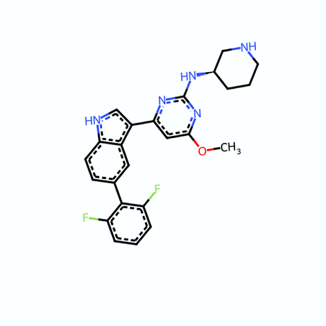 COc1cc(-c2c[nH]c3ccc(-c4c(F)cccc4F)cc23)nc(N[C@@H]2CCCNC2)n1